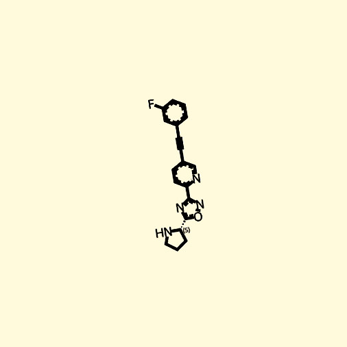 Fc1cccc(C#Cc2ccc(-c3noc([C@@H]4CCCN4)n3)nc2)c1